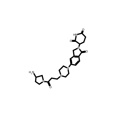 NC1CCN(C(=O)CCN2CCN(c3ccc4c(c3)CN(C3CCC(=O)NC3=O)C4=O)CC2)C1